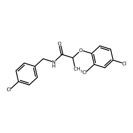 CC(Oc1ccc(Cl)cc1Cl)C(=O)NCc1ccc(Cl)cc1